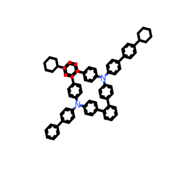 c1ccc(-c2ccc(N(c3ccc(-c4ccccc4)cc3)c3ccc(-c4ccccc4-c4ccc(N(c5ccc(-c6ccc(C7CCCCC7)cc6)cc5)c5ccc(-c6ccc(C7CCCCC7)cc6)cc5)cc4)cc3)cc2)cc1